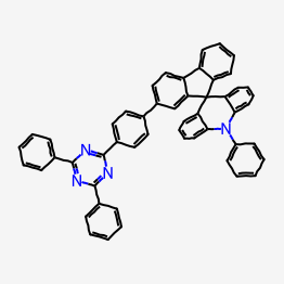 c1ccc(-c2nc(-c3ccccc3)nc(-c3ccc(-c4ccc5c(c4)C4(c6ccccc6-5)c5ccccc5N(c5ccccc5)c5ccccc54)cc3)n2)cc1